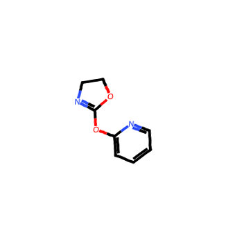 c1ccc(OC2=NCCO2)nc1